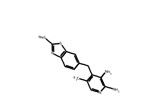 CSc1nc2ccc(Cc3c(C(F)(F)F)cnc(N)c3N)cc2s1